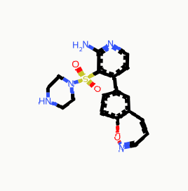 Nc1nccc(-c2ccc3c(c2)C=CC=NO3)c1S(=O)(=O)N1CCNCC1